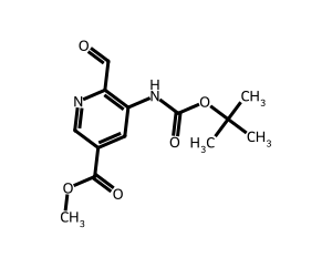 COC(=O)c1cnc(C=O)c(NC(=O)OC(C)(C)C)c1